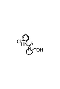 OCC1CCCCN1C(=S)Nc1ccccc1Cl